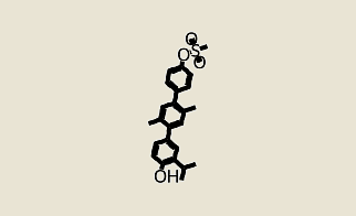 Cc1cc(-c2ccc(O)c(C(C)C)c2)c(C)cc1-c1ccc(OS(C)(=O)=O)cc1